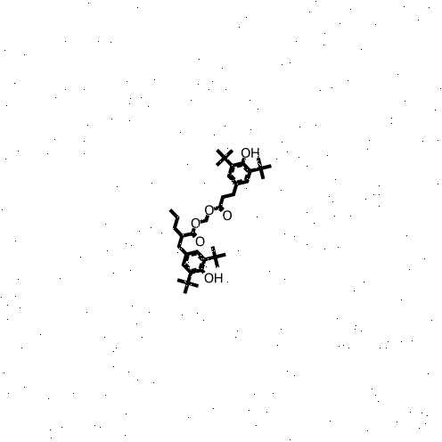 CCCC(Cc1cc(C(C)(C)C)c(O)c(C(C)(C)C)c1)C(=O)OCOC(=O)CCc1cc(C(C)(C)C)c(O)c(C(C)(C)C)c1